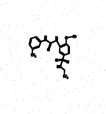 CC(C)Oc1ccc(S(=O)(=O)NCC(F)(F)F)cc1NC(=O)Nc1cccc(C(F)(F)F)c1